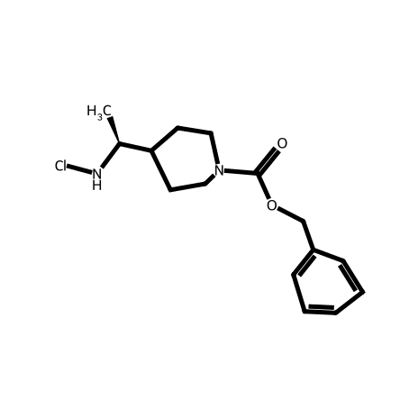 C[C@H](NCl)C1CCN(C(=O)OCc2ccccc2)CC1